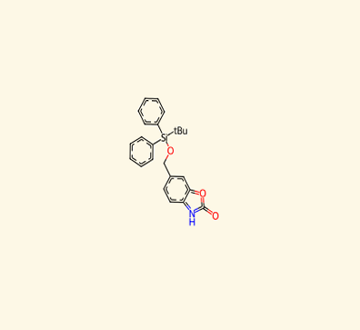 CC(C)(C)[Si](OCc1ccc2[nH]c(=O)oc2c1)(c1ccccc1)c1ccccc1